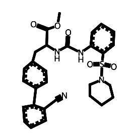 COC(=O)C(Cc1ccc(-c2ccccc2C#N)cc1)NC(=O)Nc1ccccc1S(=O)(=O)N1CCCCC1